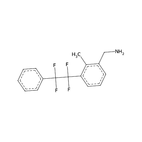 Cc1c(CN)cccc1C(F)(F)C(F)(F)c1ccccc1